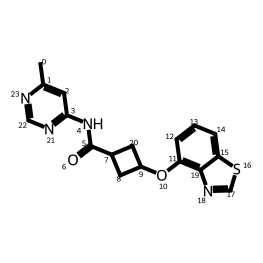 Cc1cc(NC(=O)C2CC(Oc3cccc4scnc34)C2)ncn1